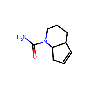 NC(=O)N1CCCC2C=CCC21